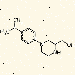 CC(C)c1ccc(N2CCNC(CO)C2)cc1